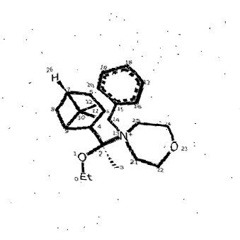 CCO[C@@](C)(C1CC[C@H]2CC1C2(C)C)[N+]1(Cc2ccccc2)CCOCC1